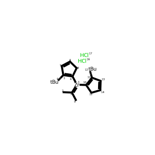 C[C](C)=[Zr]([C]1=C(C(C)(C)C)C=CC1)[C]1=C(C(C)(C)C)C=CC1.Cl.Cl